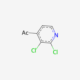 CC(=O)c1ccnc(Cl)c1Cl